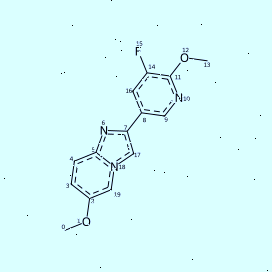 COc1ccc2nc(-c3cnc(OC)c(F)c3)cn2c1